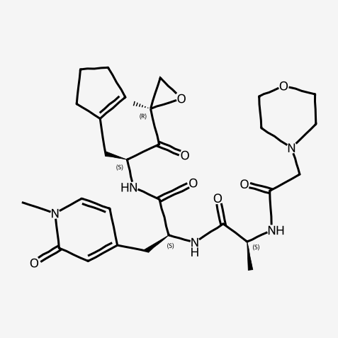 C[C@H](NC(=O)CN1CCOCC1)C(=O)N[C@@H](Cc1ccn(C)c(=O)c1)C(=O)N[C@@H](CC1=CCCC1)C(=O)[C@@]1(C)CO1